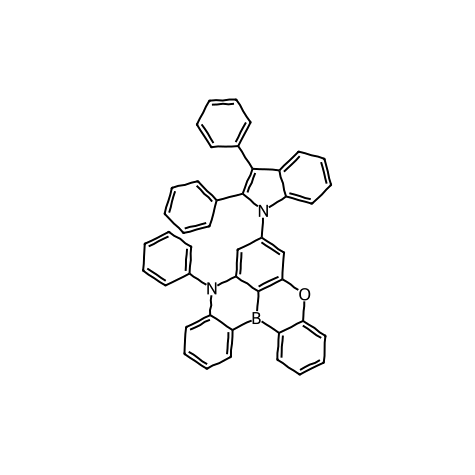 c1ccc(-c2c(-c3ccccc3)n(-c3cc4c5c(c3)N(c3ccccc3)c3ccccc3B5c3ccccc3O4)c3ccccc23)cc1